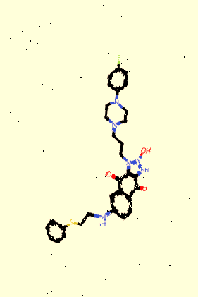 O=c1c2[nH]n(O)n(CCCN3CCN(c4ccc(F)cc4)CC3)c=2c(=O)c2cc(NCCSc3ccccc3)ccc12